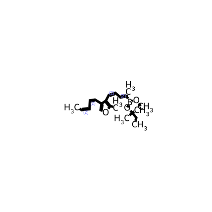 C/C=C\C=C/c1coc(C)c1/C=C\C=C(/C)B(OC)OC(C)(C)CC